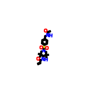 C=CC(=O)NC1C(C)(C)CN(S(=O)(=O)c2ccc(CNC(C)=O)cc2)CC1(C)C